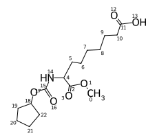 COC(=O)C(CCCCCCC(=O)O)NC(=O)OC1CCCC1